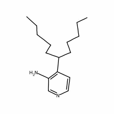 CCCCCC(CCCCC)c1ccncc1N